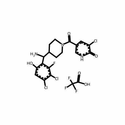 NC(c1c(O)cc(Cl)c(Cl)c1F)C1CCN(C(=O)c2c[nH]c(=O)c(Cl)c2)CC1.O=C(O)C(F)(F)F